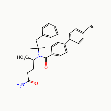 CCC(C)c1ccc(-c2ccc(C(=O)N([C@@H](CCC(N)=O)C(=O)O)C(C)(C)Cc3ccccc3)cc2)cc1